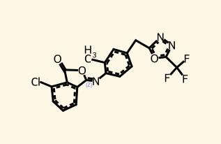 Cc1cc(Cc2nnc(C(F)(F)F)o2)ccc1/N=C1\OC(=O)c2c(Cl)cccc21